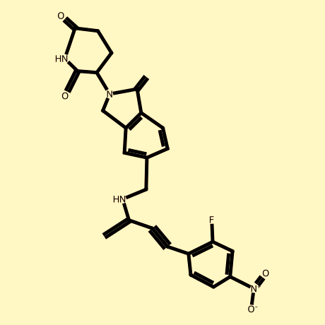 C=C(C#Cc1ccc([N+](=O)[O-])cc1F)NCc1ccc2c(c1)CN(C1CCC(=O)NC1=O)C2=C